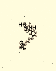 C[C@@H](NC(=O)c1cccc(CCCCCC(=O)N(C)C)c1)C(=O)O